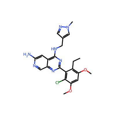 CCc1c(OC)cc(OC)c(Cl)c1-c1nc(NCc2cnn(C)c2)c2cc(N)ncc2n1